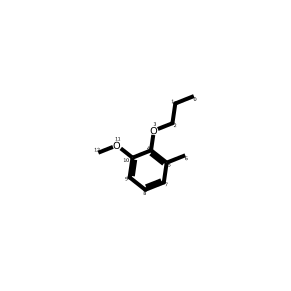 CCCOc1c(C)cccc1OC